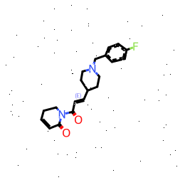 O=C1C=CCCN1C(=O)/C=C/C1CCN(Cc2ccc(F)cc2)CC1